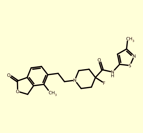 Cc1cc(NC(=O)C2(F)CCN(CCc3ccc4c(c3C)COC4=O)CC2)sn1